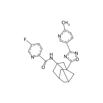 Cc1ccc(-c2noc(C34CC5CC(CC(NC(=O)c6ccc(F)cn6)(C5)C3)C4)n2)cn1